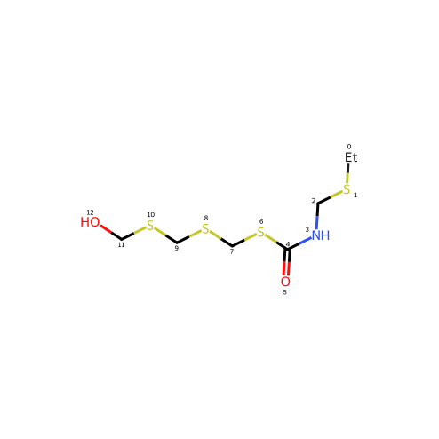 CCSCNC(=O)SCSCSCO